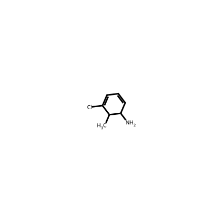 CC1C(Cl)=CC=CC1N